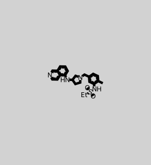 CCS(=O)(=O)Nc1cc(CN2CCC(Nc3cccc4cnccc34)C2)ccc1C